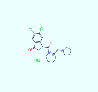 Cl.O=C1CC(C(=O)N2CCCC[C@@H]2CN2CCCC2)c2cc(Cl)c(Cl)cc21